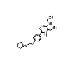 CC(C)CC(NC(=O)c1ccc(OCCN2CCCC2)cc1)C(=O)NCC#N